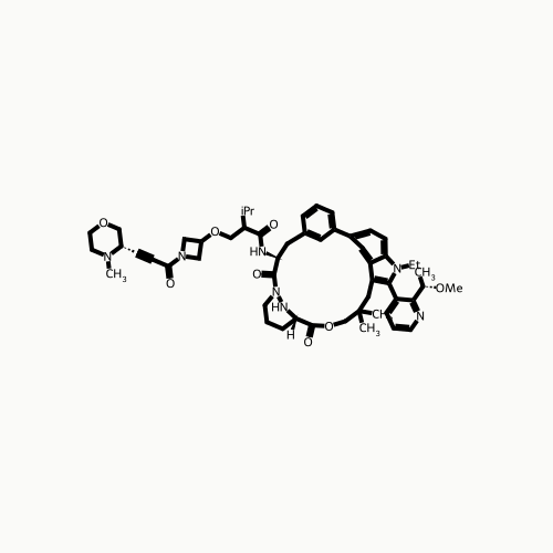 CCn1c(-c2cccnc2[C@H](C)OC)c2c3cc(ccc31)-c1cccc(c1)C[C@H](NC(=O)C(COC1CN(C(=O)C#C[C@H]3COCCN3C)C1)C(C)C)C(=O)N1CCC[C@H](N1)C(=O)OCC(C)(C)C2